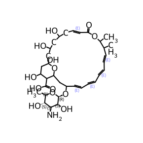 CC1/C=C/C=C/C=C/C=C/C(O[C@@H]2O[C@H](C)[C@@H](O)[C@H](N)[C@@H]2O)CC2OC(O)(CC(O)CC(O)C/C=C/C(=O)OC1C)CC(O)C2C(=O)O